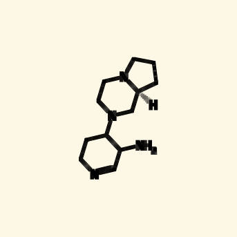 NC1C=NCCC1N1CCN2CCC[C@H]2C1